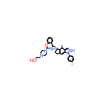 C[C@H]1C2=CNN(c3ccc(F)cc3)C2=CC2=C1[C@@H](CC(NC(=O)N1CCN(CCO)CC1)c1ccccc1)CC2